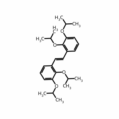 CC(C)Oc1cccc(/C=C/c2cccc(OC(C)C)c2OC(C)C)c1OC(C)C